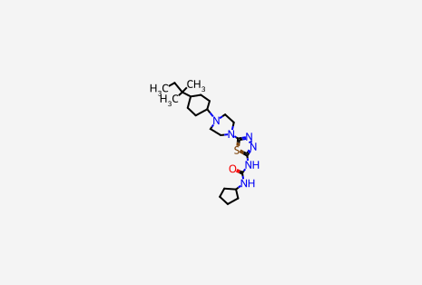 CCC(C)(C)C1CCC(N2CCN(c3nnc(NC(=O)NC4CCCC4)s3)CC2)CC1